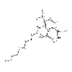 CCCCCCCCCCCc1c(C(C)C)ccc(C(=O)O)c1C(=O)O